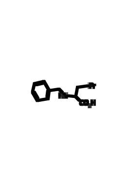 CC(C)CC(NCc1ccccc1)C(=O)O